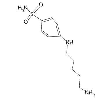 NCCCCCNc1ccc(S(N)(=O)=O)cc1